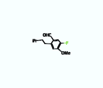 COc1cc(CCC(C)C)c(C=O)cc1F